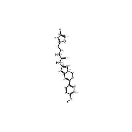 COc1ccc(-c2ccn3nc(NC(=O)NCCc4nc(C)no4)cc3c2)cn1